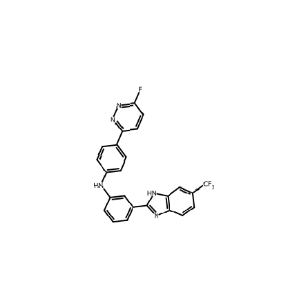 Fc1ccc(-c2ccc(Nc3cccc(-c4nc5ccc(C(F)(F)F)cc5[nH]4)c3)cc2)nn1